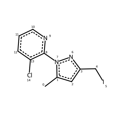 Cc1cc(CI)nn1-c1ncccc1Cl